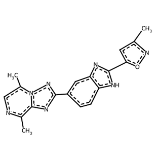 Cc1cc(-c2nc3cc(-c4nc5c(C)ncc(C)n5n4)ccc3[nH]2)on1